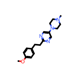 COc1ccc(CCc2ncc(N3CCN(C)CC3)cn2)cc1